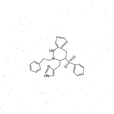 O=S(=O)(c1ccccc1)C1Cc2ccccc2NN(CCc2ccccc2)C1Cc1c[nH]cn1